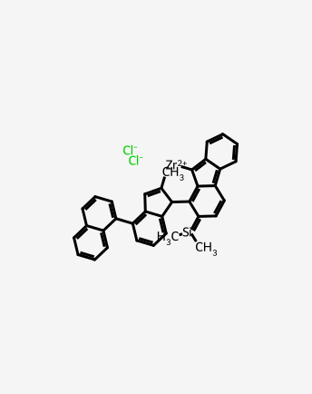 CC1=Cc2c(-c3cccc4ccccc34)cccc2C1c1c2c(ccc1=[Si](C)C)=c1ccccc1=[C]2[Zr+2].[Cl-].[Cl-]